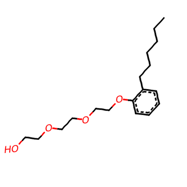 CCCCCCc1ccccc1OCCOCCOCCO